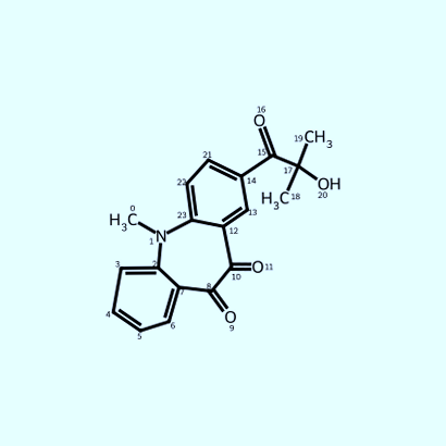 Cn1c2ccccc2c(=O)c(=O)c2cc(C(=O)C(C)(C)O)ccc21